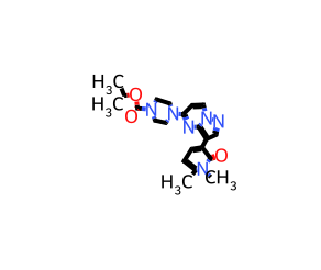 Cc1ccc(-c2cnn3ccc(N4CCN(C(=O)OC(C)C)CC4)nc23)c(=O)n1C